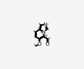 COc1ccc2cncn2c1C=O